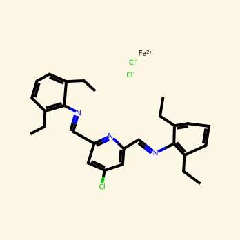 CCc1cccc(CC)c1N=Cc1cc(Cl)cc(C=Nc2c(CC)cccc2CC)n1.[Cl-].[Cl-].[Fe+2]